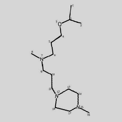 CC(C)OCCCN(C)CCCN1CCN(C)CC1